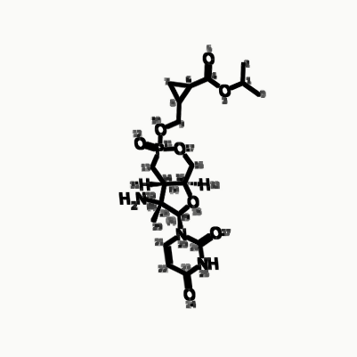 CC(C)OC(=O)C1CC1COP1(=O)C[C@@H]2[C@@H](CO1)O[C@@H](n1ccc(=O)[nH]c1=O)[C@]2(C)N